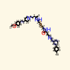 C=C(CCC[n+]1ccc(/C=C/c2ccc(OCC)cc2)cc1)NCCSSCCNC(=O)CCC/N=C/C=C(\C=C/C)/C=C/c1ccc(C)cc1